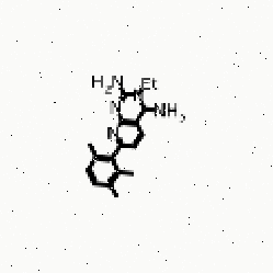 CCN1C(N)=Nc2nc(-c3c(C)ccc(C)c3C)ccc2C1N